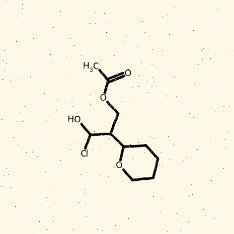 CC(=O)OCC(C(O)Cl)C1CCCCO1